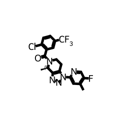 Cc1cc(-n2nnc3c2CCN(C(=O)c2cc(C(F)(F)F)ccc2Cl)[C@@H]3C)ncc1F